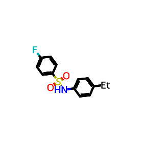 CCc1ccc(NS(=O)(=O)c2ccc(F)cc2)cc1